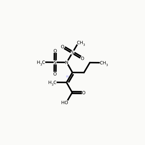 CCC/C(=C(/C)C(=O)O)N(S(C)(=O)=O)S(C)(=O)=O